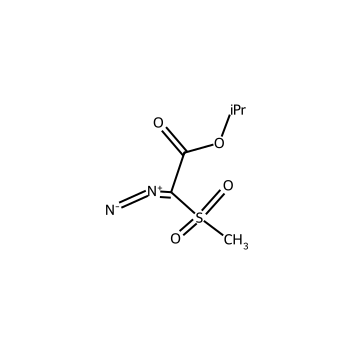 CC(C)OC(=O)C(=[N+]=[N-])S(C)(=O)=O